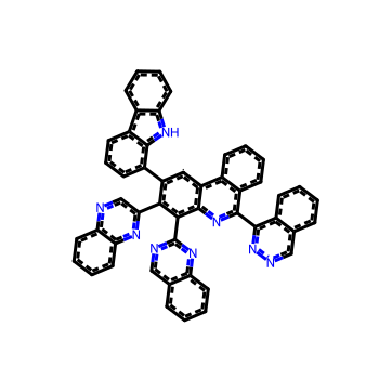 [c]1c(-c2cccc3c2[nH]c2ccccc23)c(-c2cnc3ccccc3n2)c(-c2ncc3ccccc3n2)c2nc(-c3nncc4ccccc34)c3ccccc3c12